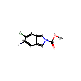 CC(C)(C)OC(=O)n1cc2cc(Cl)c(I)cc2c1